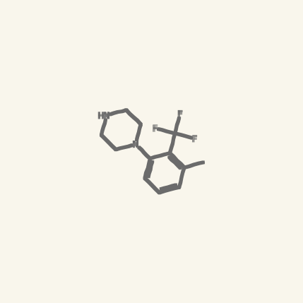 Cc1cccc(N2CCNCC2)c1C(F)(F)F